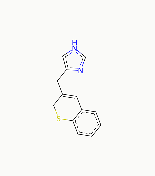 C1=C(Cc2c[nH]cn2)CSc2ccccc21